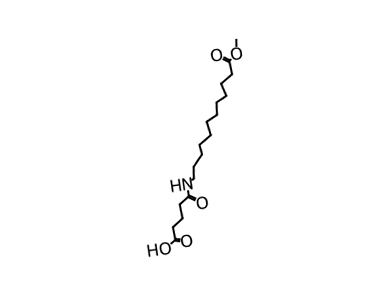 COC(=O)CCCCCCCCCCCNC(=O)CCCC(=O)O